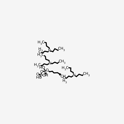 C#CCCCCOP(=O)(O)OP(=O)(O)O.CCCCN(CCCC)CCCC.CCCCN(CCCC)CCCC.CCCCN(CCCC)CCCC